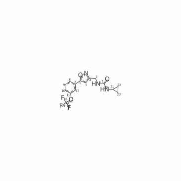 O=C(NCc1cc(-c2cccc(OC(F)(F)F)c2)on1)NC1CC1